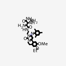 CCOc1cc2c(cc1OC)-c1c/c(=N\c3c(C)cc(C)cc3C)n(CCNC(=O)C(N)C(NN)C(N)=O)c(=O)n1CC2